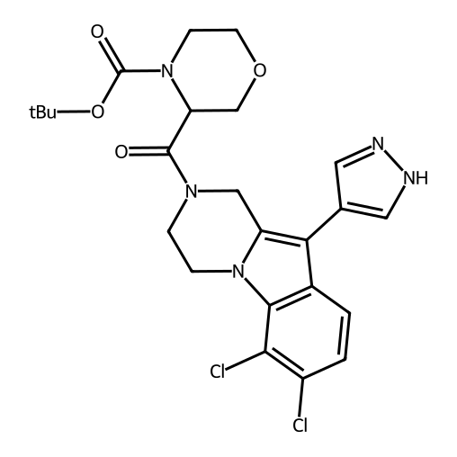 CC(C)(C)OC(=O)N1CCOCC1C(=O)N1CCn2c(c(-c3cn[nH]c3)c3ccc(Cl)c(Cl)c32)C1